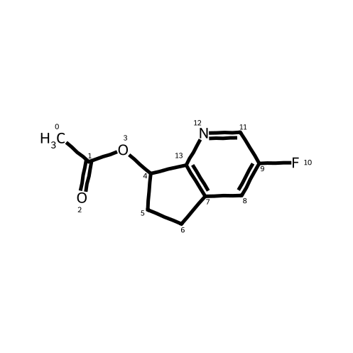 CC(=O)OC1CCc2cc(F)cnc21